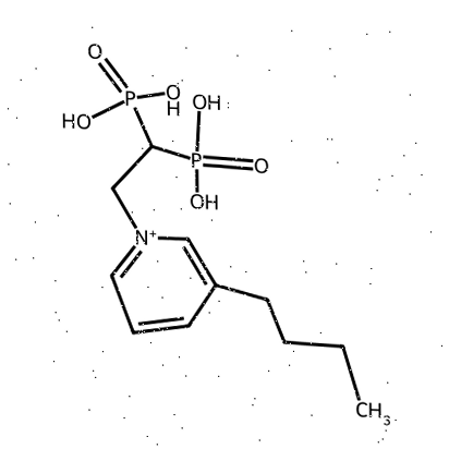 CCCCc1ccc[n+](CC(P(=O)(O)O)P(=O)(O)O)c1